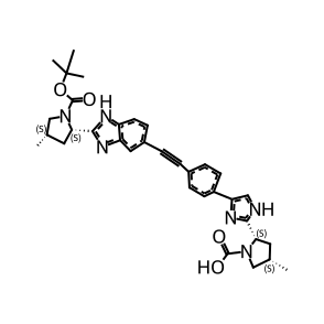 C[C@H]1C[C@@H](c2nc(-c3ccc(C#Cc4ccc5[nH]c([C@@H]6C[C@H](C)CN6C(=O)OC(C)(C)C)nc5c4)cc3)c[nH]2)N(C(=O)O)C1